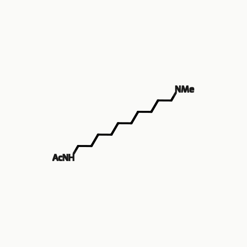 CNCCCCCCCCCCNC(C)=O